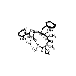 C[C@@H]1[C@H](NC(=O)c2ncccc2O)C(=O)N[C@@H](Cc2ccccc2)[C@@H](O)[C@@H](C)C(=O)N(C)C(C2CCO2)C(=O)N1C